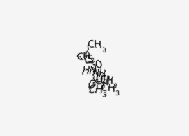 C=C[C@H]1C=C(C(=O)NNCC(O)(CC(C)C)OC)SC1CCCC